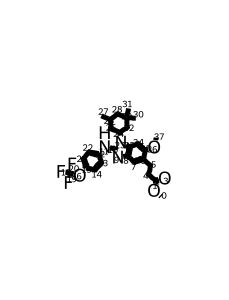 COC(=O)CCc1cc2nc(Nc3ccc(OC(F)(F)F)cc3)n(C3CC(C)CC(C)(C)C3)c2cc1OC